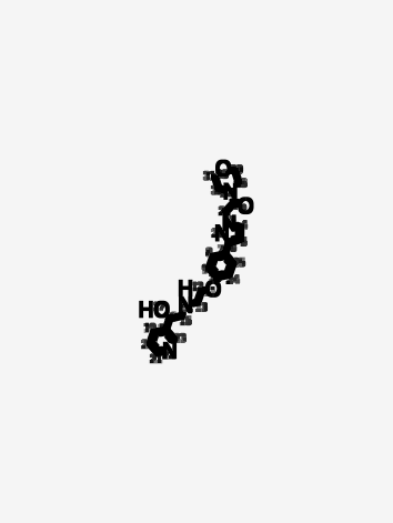 O=C(Cn1ccc(-c2ccc(OCCNC[C@H](O)c3cccnc3)cc2)n1)N1CCOCC1